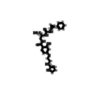 O=C(N[C@@H](CNC(=O)c1ccc(OCCNC2=NCCN2)cc1O)C(=O)O)N[C@H]1C[C@@H]1c1ccccc1